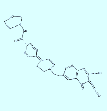 CCC1=Cc2ncc(CN3C=CC(=C4C=C[C@@H](C(=O)NC5CCOC5)N=C4)CC3)cc2NC1=C=O